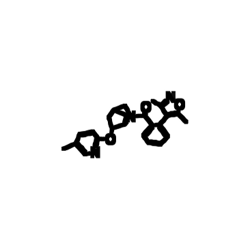 Cc1ccc(OC2CC3CC2N(C(=O)c2ccccc2-c2c(C)noc2C)C3)nc1